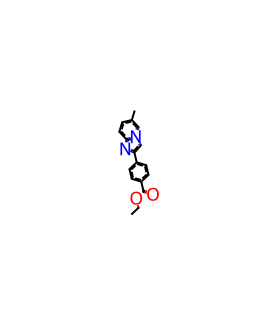 CCOC(=O)c1ccc(-c2cn3cc(C)ccc3n2)cc1